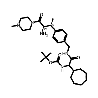 C[C@@H](c1ccc(CNC(=O)C(NC(=O)OC(C)(C)C)C2CCCCCC2)cc1)[C@@H](N)C(=O)N1CCN(C)CC1